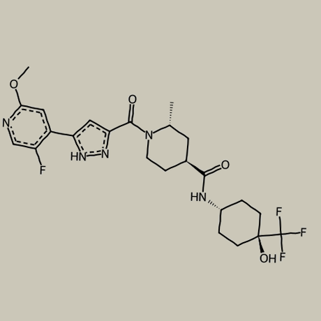 COc1cc(-c2cc(C(=O)N3CC[C@H](C(=O)N[C@H]4CC[C@@](O)(C(F)(F)F)CC4)C[C@H]3C)n[nH]2)c(F)cn1